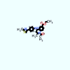 CCOC(=O)c1ccc2c(c1)[C@H](Nc1ccc(-c3csc(C)n3)cc1)C[C@H](C)N2C(C)=O